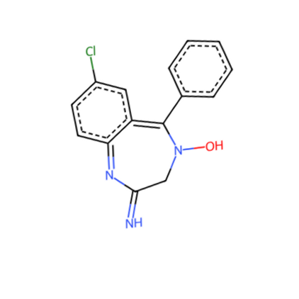 N=C1CN(O)C(c2ccccc2)=c2cc(Cl)ccc2=N1